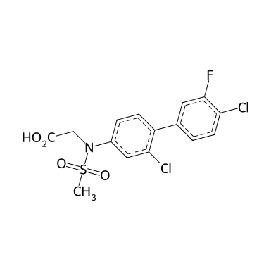 CS(=O)(=O)N(CC(=O)O)c1ccc(-c2ccc(Cl)c(F)c2)c(Cl)c1